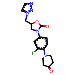 O=C1CCN(c2ccc(N3CC(Cn4ccnn4)OC3=O)cc2F)CC1